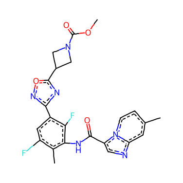 COC(=O)N1CC(c2nc(-c3cc(F)c(C)c(NC(=O)c4cnc5cc(C)ccn45)c3F)no2)C1